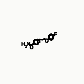 NC(=O)C1CCN(CCCOc2ccc(F)cc2)CC1